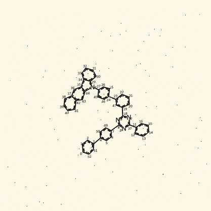 c1ccc(-c2ccc(-c3nc(-c4ccccc4)nc(-c4cccc(-c5ccc(-n6c7ccccc7c7cc8ccccc8cc76)cc5)c4)n3)cc2)cc1